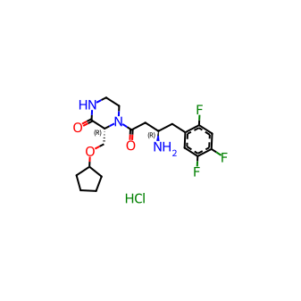 Cl.N[C@@H](CC(=O)N1CCNC(=O)[C@H]1COC1CCCC1)Cc1cc(F)c(F)cc1F